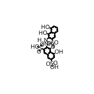 Nc1c(S(=O)(=O)Oc2c(N)c(S(=O)(=O)O)cc3cc(S(=O)(=O)O)cc(O)c23)cc2cccc(O)c2c1O